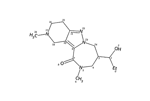 CCC(O)C1CN(C)C(=O)c2c3c(nn2C1)CCN(C)C3